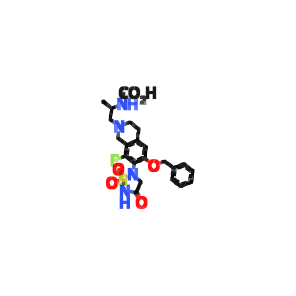 C[C@H](CN1CCc2cc(OCc3ccccc3)c(N3CC(=O)NS3(=O)=O)c(F)c2C1)NC(=O)O